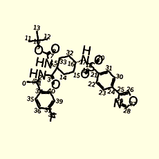 C[C@@H](NC(=O)[C@]1(NC(=O)OC(C)(C)C)CC[C@@H](NS(=O)(=O)c2ccc(-c3cocn3)cc2)CC1)c1ccc(F)cc1